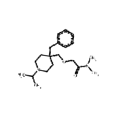 CC(C)N1CCC(COCC(=O)N(C)C)(Cc2ccccc2)CC1